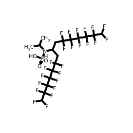 CC(C)N(C(CC(F)(F)C(F)(F)C(F)(F)C(F)(F)C(F)(F)C(F)F)CC(F)(F)C(F)(F)C(F)(F)C(F)(F)C(F)(F)C(F)F)P(=O)(O)O